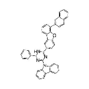 c1ccc(C2N=C(n3c4ccccc4c4ccccc43)N=C(c3ccc4oc5c(-c6ccc7ccccc7c6)cccc5c4c3)N2)cc1